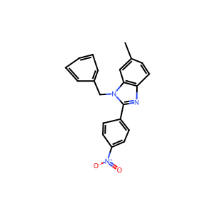 Cc1ccc2nc(-c3ccc([N+](=O)[O-])cc3)n(Cc3ccccc3)c2c1